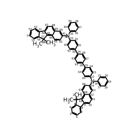 CC1(C)c2ccccc2-c2ccc3cc(N(c4ccccc4)c4ccc(-c5ccc(-c6ccc(N(c7ccccc7)c7ccc8c9c(ccc8c7)-c7ccccc7C9(C)C)cc6)cc5)cc4)ccc3c21